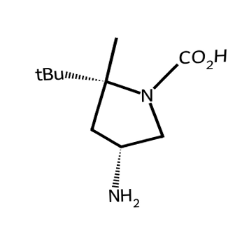 CC(C)(C)[C@@]1(C)C[C@@H](N)CN1C(=O)O